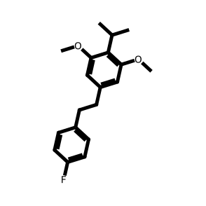 COc1cc(CCc2ccc(F)cc2)cc(OC)c1C(C)C